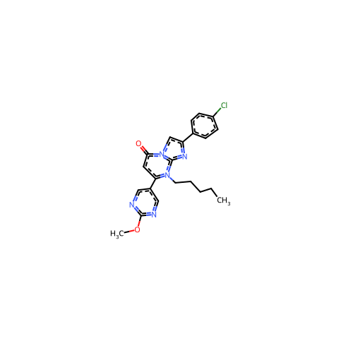 CCCCCn1c(-c2cnc(OC)nc2)cc(=O)n2cc(-c3ccc(Cl)cc3)nc12